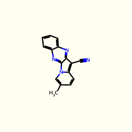 Cc1ccc2c(C#N)c3nc4ccccc4nc3n2c1